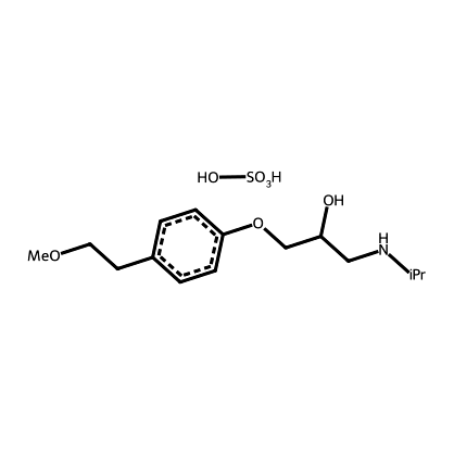 COCCc1ccc(OCC(O)CNC(C)C)cc1.O=S(=O)(O)O